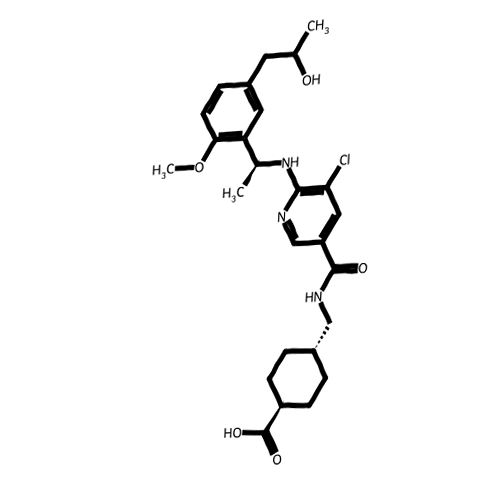 COc1ccc(CC(C)O)cc1[C@H](C)Nc1ncc(C(=O)NC[C@H]2CC[C@H](C(=O)O)CC2)cc1Cl